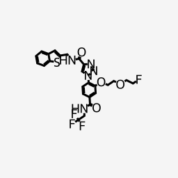 O=C(NCC(F)(F)F)c1ccc(-n2cc(C(=O)NCc3cc4ccccc4s3)nn2)c(OCCOCCF)c1